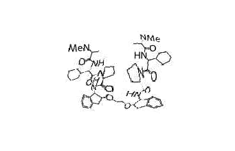 CN[C@@H](C)C(=O)N[C@H](C(=O)N1CCC[C@H]1C(=O)N[C@H]1c2ccccc2C[C@@H]1OCCO[C@H]1Cc2ccccc2[C@@H]1NC(=O)[C@@H]1CCCN1C(=O)[C@@H](NC(=O)[C@H](C)NC)C1CCCCC1)C1CCCCC1